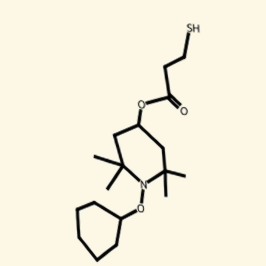 CC1(C)CC(OC(=O)CCS)CC(C)(C)N1OC1CCCCC1